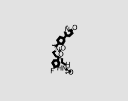 C[C@@H](c1ccc(-c2ccc(=O)n(C)c2)cc1)N1CC[C@](CCCN[SH](C)(C)=O)(c2ccc(F)cc2)OC1=O